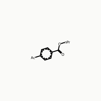 CCCOC(=O)c1ccc(C(C)=O)cc1